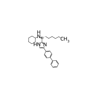 CCCCCC[C@@H](NC1CCCCC1)c1nc(-c2ccc(-c3ccccc3)cc2)c[nH]1